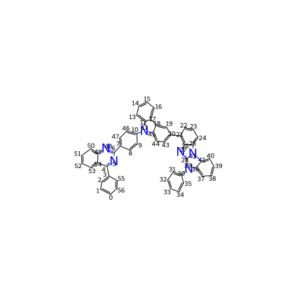 c1ccc(-c2nc(-c3ccc(-n4c5ccccc5c5cc(-c6cccc7c6nc6n(-c8ccccc8)c8ccccc8n76)ccc54)cc3)nc3ccccc23)cc1